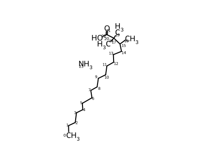 CCCCCCCCCCCCCCCC(C)C(C)(C)C(=O)O.N